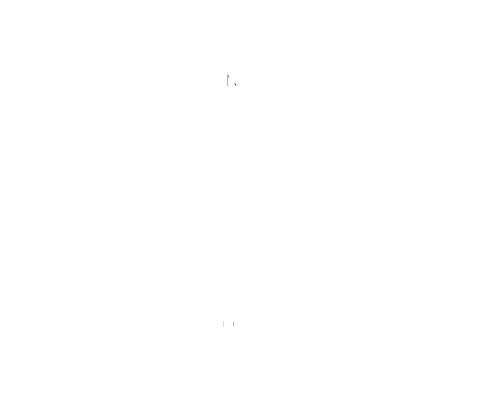 c1ccc(-n2c3ccc(-c4ccc(-c5ccc6c(c5)-c5cccc7cccc(c57)O6)cc4)cc3c3cc4ccccc4cc32)cc1